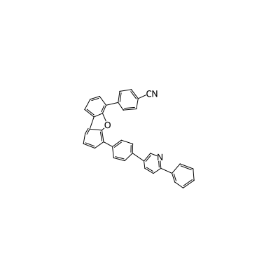 N#Cc1ccc(-c2cccc3c2oc2c(-c4ccc(-c5ccc(-c6ccccc6)nc5)cc4)cccc23)cc1